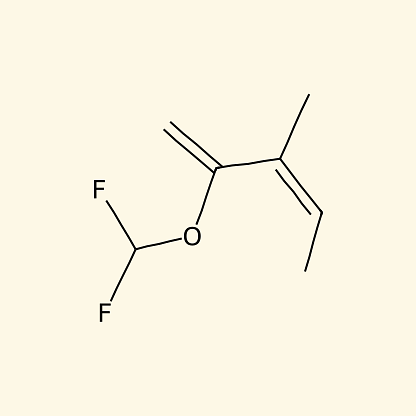 C=C(OC(F)F)/C(C)=C\C